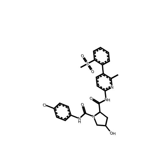 Cc1nc(NC(=O)C2CC(O)CN2C(=O)Nc2ccc(Cl)cc2)ccc1-c1ccccc1S(C)(=O)=O